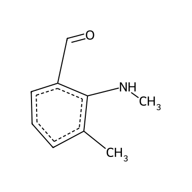 CNc1c(C)cccc1C=O